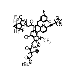 CC(C)(C)OC(=O)CC(C)(C)C(=O)N(Cc1nn(CC(F)(F)F)c2c(-c3ccc(C#CC(C)(C)S(C)(=O)=O)nc3C(Cc3cc(F)cc(F)c3)NC(=O)Cn3nc(C(F)(F)F)c4c3C(F)(F)[C@@H]3C[C@H]43)ccc(Cl)c12)[SH](=O)=O